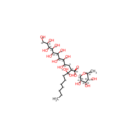 CCCCCCCC(O)(O)C(CC(O)C(O)C(O)C(O)C(O)C(O)C(O)C(O)CO)C(=O)O[C@@H]1O[C@@H](C)[C@H](O)[C@@H](O)[C@H]1O